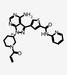 C=CC(=O)N1CCC[C@@H](n2nc(-c3csc(C(=O)Nc4ccccn4)c3)c3c(N)ncnc32)C1